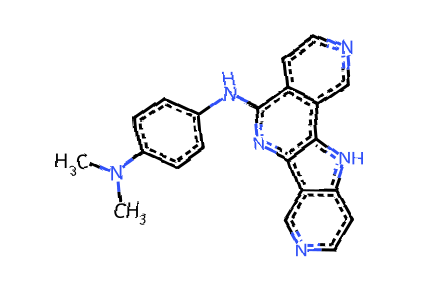 CN(C)c1ccc(Nc2nc3c4cnccc4[nH]c3c3cnccc23)cc1